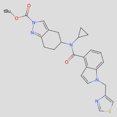 CC(C)(C)OC(=O)n1cc2c(n1)CCC(N(C(=O)c1cccc3c1ccn3Cc1cscn1)C1CC1)C2